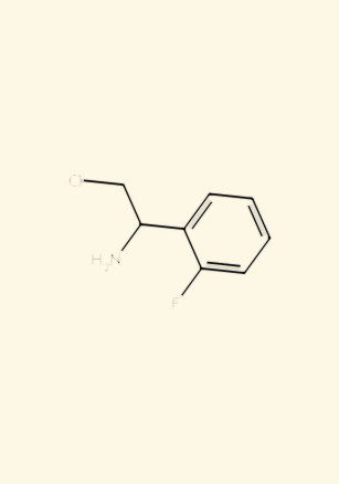 NC(CCl)c1ccccc1F